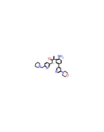 C=C(C(=O)[C@H](C)c1ccc(CN2CCCCC2)nc1)c1cc(-c2cncc(N3CCOCC3)c2)ccc1N